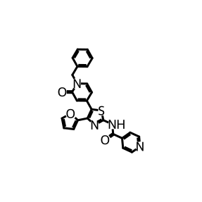 O=C(Nc1nc(-c2ccco2)c(-c2ccn(Cc3ccccc3)c(=O)c2)s1)c1ccncc1